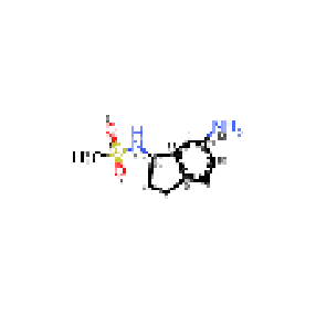 CS(=O)(=O)N[C@@H]1CCc2ccc(N)cc21